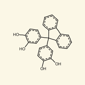 Oc1ccc(C2(c3ccc(O)c(O)c3)c3ccccc3-c3ccccc32)cc1O